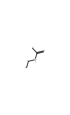 C=C(C)OCC